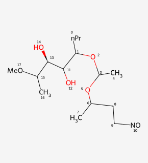 CCCC(OC(C)OC(C)CCN=O)C(O)[C@H](O)C(C)OC